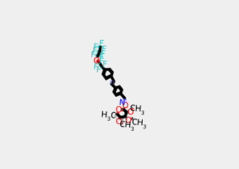 CCO[C@@H]1[C@@H](OC)[C@H](C)O[C@@H](O/N=C/c2ccc(/C=C/c3ccc(C(F)(F)C(F)(F)OC(F)(F)C(F)(F)C(F)(F)F)cc3)cc2)[C@@H]1OC